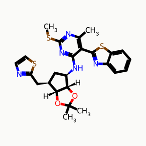 CSc1nc(C)c(-c2nc3ccccc3s2)c(N[C@@H]2C[C@H](Cc3nccs3)[C@H]3OC(C)(C)O[C@H]32)n1